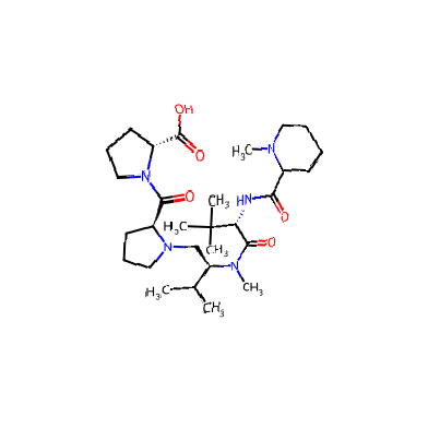 CC(C)[C@@H](CN1CCC[C@H]1C(=O)N1CCC[C@@H]1C(=O)O)N(C)C(=O)[C@@H](NC(=O)C1CCCCN1C)C(C)(C)C